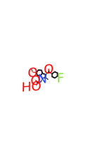 COc1ccc2c(C(=O)c3ccc(F)cc3)c(C)n(CC(=O)O)c2c1